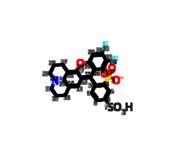 O=S(=O)([O-])c1cc(S(=O)(=O)O)ccc1C1=c2cc3c4c(c2Oc2cc(F)c(F)cc21)CCC[N+]=4CCC3